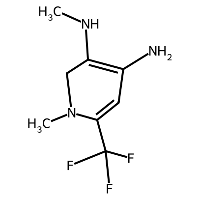 CNC1=C(N)C=C(C(F)(F)F)N(C)C1